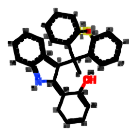 Cc1ccccc1C(C)(C1=c2ccccc2=N/C1=C1\CC=CC=C1O)c1ccccc1S